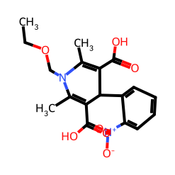 CCOCN1C(C)=C(C(=O)O)C(c2ccccc2[N+](=O)[O-])C(C(=O)O)=C1C